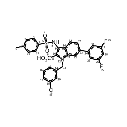 Cc1ccc(S(=O)(=O)Nc2c(C(=O)O)n(Cc3cccc(Cl)c3)c3cc(-c4cc(F)cc(F)c4)ccc23)cc1